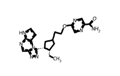 CC[C@H]1CC(CCOc2cnc(C(N)=O)cn2)C[C@H]1c1nnc2cnc3[nH]ccc3n12